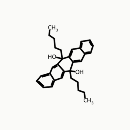 CCCCCC1(O)c2cc3ccccc3cc2C(O)(CCCCC)c2cc3ccccc3cc21